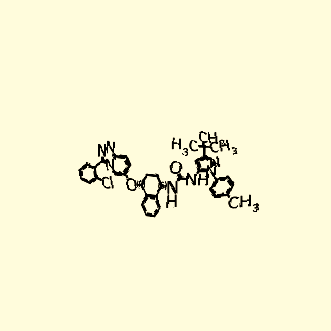 Cc1ccc(-n2nc(C(C)(C)C)cc2NC(=O)N[C@H]2CC[C@@H](Oc3ccc4nnc(-c5ccccc5Cl)n4c3)c3ccccc32)cc1